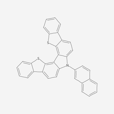 c1ccc2cc(-n3c4ccc5c6ccccc6sc5c4c4c5sc6ccccc6c5ccc43)ccc2c1